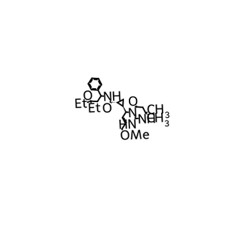 CCC1(CC)CC(NC(=O)[C@@H]2C[C@H]2C(/C=C/COC)N2C(=N)NC(C)(C)CC2=O)c2ccccc2O1